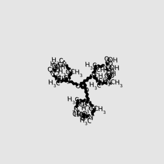 CCN(CC)CCC[Si](C)(C)CCC[Si](C)(CCCCOc1cc(CCCCC[Si](C)(CCC[Si](C)(C)CCCN(CC)CCS(=O)(=O)O)CCC[Si](C)(C)CCCN(CCS(=O)(=O)O)CCS(=O)(=O)O)cc(OCCCC[Si](C)(CCC[Si](C)(C)CCCN(CC)CC)CCC[Si](C)(C)CCCN(CC)CCS(=O)(=O)O)c1)CCC[Si](C)(C)CCCN(CC)CCS(=O)(=O)O